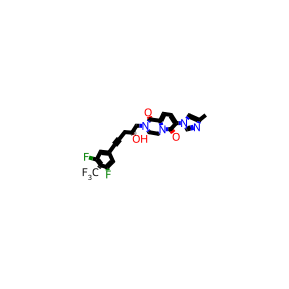 Cc1cn(-c2ccc3n(c2=O)CCN(C[C@@H](O)CC#Cc2cc(F)c(C(F)(F)F)c(F)c2)C3=O)cn1